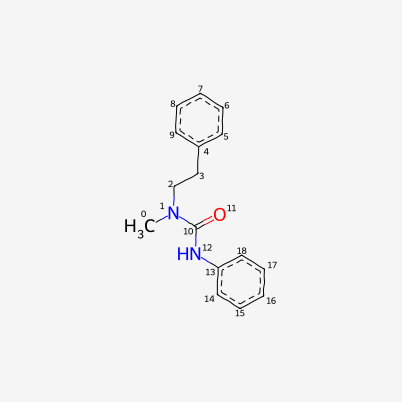 CN(CCc1ccccc1)C(=O)Nc1ccccc1